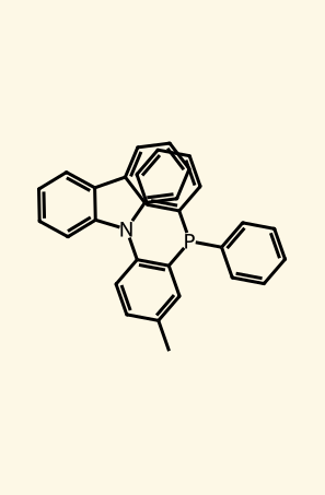 Cc1ccc(-n2c3ccccc3c3ccccc32)c(P(c2ccccc2)c2ccccc2)c1